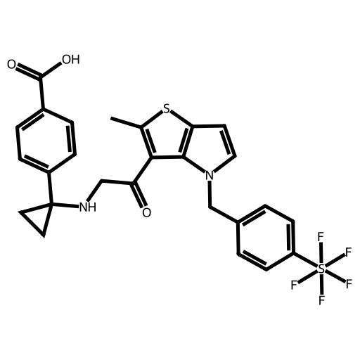 Cc1sc2ccn(Cc3ccc(S(F)(F)(F)(F)F)cc3)c2c1C(=O)CNC1(c2ccc(C(=O)O)cc2)CC1